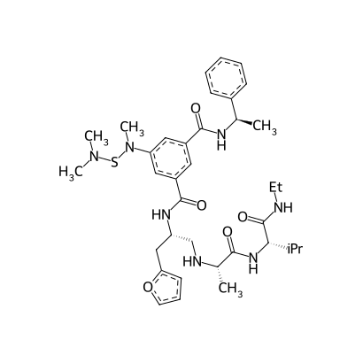 CCNC(=O)[C@@H](NC(=O)[C@H](C)NC[C@H](Cc1ccco1)NC(=O)c1cc(C(=O)N[C@H](C)c2ccccc2)cc(N(C)SN(C)C)c1)C(C)C